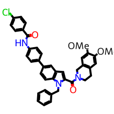 COc1cc2c(cc1OC)CN(C(=O)c1cc3cc(-c4ccc(NC(=O)c5ccc(Cl)cc5)cc4)ccc3n1Cc1ccccc1)CC2